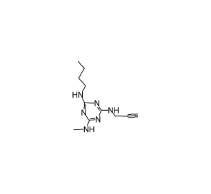 C#CCNc1nc(NC)nc(NCCCC)n1